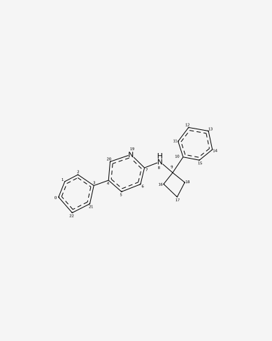 c1ccc(-c2ccc(NC3(c4ccccc4)CCC3)nc2)cc1